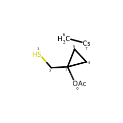 CC(=O)OC1(CS)CC1.[CH3][Cs]